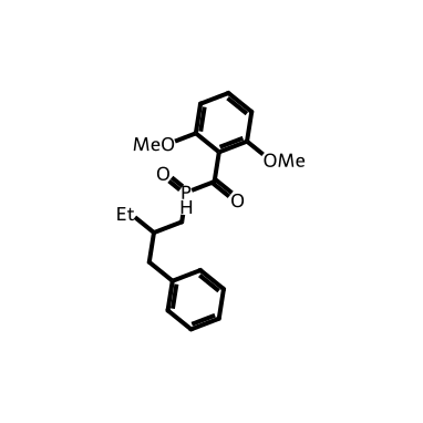 CCC(Cc1ccccc1)C[PH](=O)C(=O)c1c(OC)cccc1OC